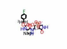 [2H]C([2H])(OC(=O)N[C@@H](CC(C)C)C(=O)N[C@@H](C[C@@H]1CCNC1=O)C(O)S(=O)(=O)[O-])c1ccc(F)cc1.[Na+]